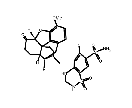 COc1ccc2c3c1O[C@H]1C(=O)CC[C@H]4[C@@H](C2)N(C)CC[C@]314.NS(=O)(=O)c1cc2c(cc1Cl)NCNS2(=O)=O